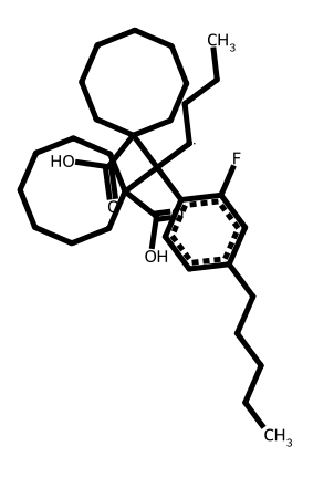 CCC[CH]C(c1ccc(CCCCC)cc1F)(C1(C(=O)O)CCCCCCC1)C1(C(=O)O)CCCCCCC1